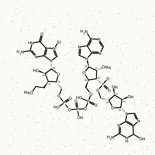 CC[n+]1cn([C@@H]2O[C@H](COP(=O)(O)OP(=O)(O)OP(=O)(O)OC[C@H]3O[C@@H](n4cnc5c(N)ncnc54)[C@H](OC)[C@@H]3P(=O)([O-])OC[C@H]3O[C@@H](n4cnc5c4N=C(N)NC5O)[C@H](O)[C@@H]3O)[C@@H](CCOC)[C@H]2O)c2nc(N)[nH]c(=O)c21